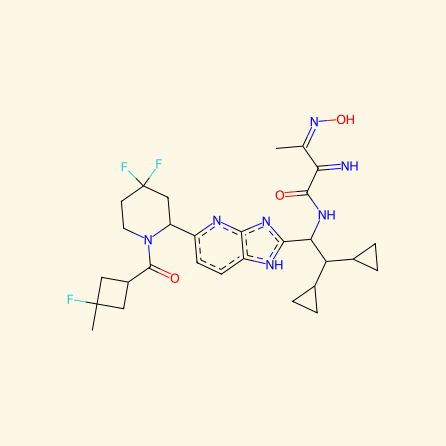 C/C(=N/O)C(=N)C(=O)NC(c1nc2nc(C3CC(F)(F)CCN3C(=O)C3CC(C)(F)C3)ccc2[nH]1)C(C1CC1)C1CC1